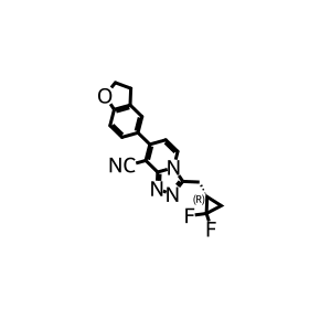 N#Cc1c(-c2ccc3c(c2)CCO3)ccn2c(C[C@@H]3CC3(F)F)nnc12